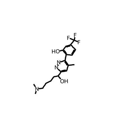 Cc1cc(C(O)CCCCN(C)C)nnc1-c1ccc(C(F)(F)F)cc1O